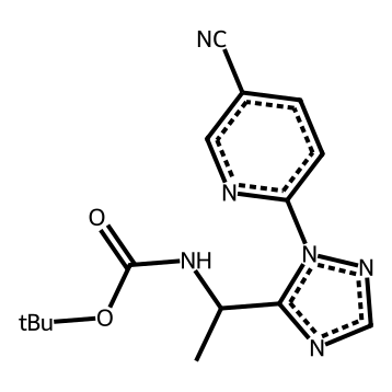 CC(NC(=O)OC(C)(C)C)c1ncnn1-c1ccc(C#N)cn1